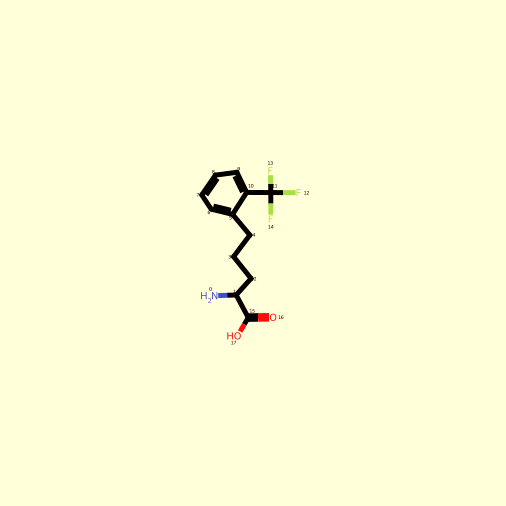 NC(CCCc1ccccc1C(F)(F)F)C(=O)O